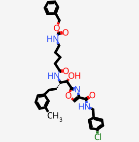 Cc1cccc(CC[C@H](NC(=O)CCCCNC(=O)OCc2ccccc2)C(O)c2nc(C(=O)NCc3ccc(Cl)cc3)co2)c1